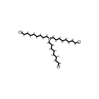 ClCCCCCCCCN(CCCCCCCCCl)CCCCCCCCCl